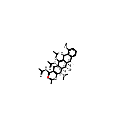 COc1cccc2c1C(=O)C1=C(OC(C)=O)[C@]3(OC(C)=O)C(=O)C(C(=O)NC(C)=O)=C(OC(C)=O)[C@@H](N(C)C)[C@@H]3[C@@H](O)[C@@H]1[C@H]2C